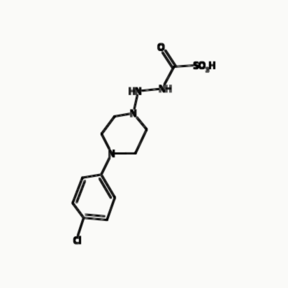 O=C(NNN1CCN(c2ccc(Cl)cc2)CC1)S(=O)(=O)O